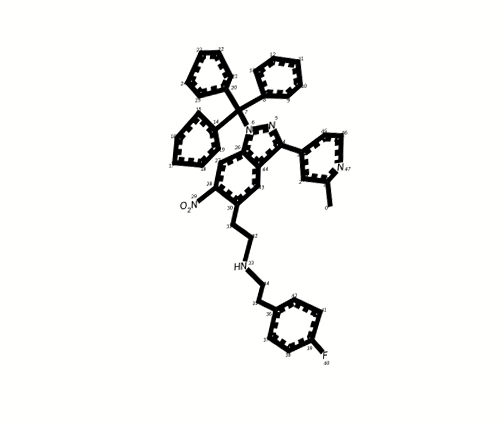 Cc1cc(-c2nn(C(c3ccccc3)(c3ccccc3)c3ccccc3)c3cc([N+](=O)[O-])c(CCNCCc4ccc(F)cc4)cc23)ccn1